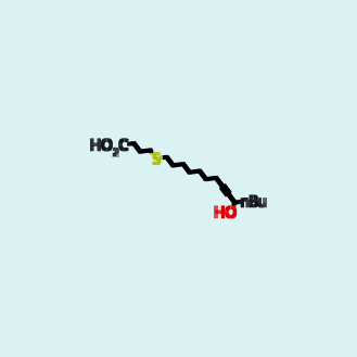 CCCCC(O)C#CCCCCCCCSCCCC(=O)O